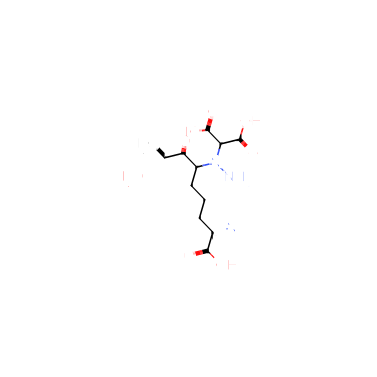 C=CC(=O)C(CCC[C@H](N)C(=O)O)N(N)C(C(=O)O)C(=O)O.O